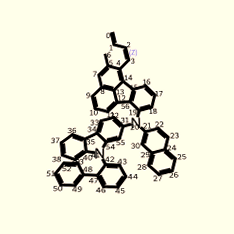 C=C/C=C\c1c(C)cc2cccc3c2c1-c1cccc(N(c2ccc4ccccc4c2)c2ccc4c5ccccc5n(-c5ccccc5-c5ccccc5)c4c2)c1-3